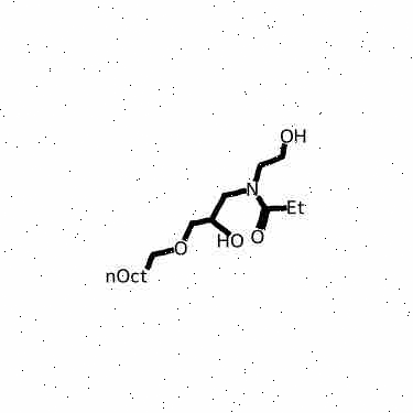 CCCCCCCCCOCC(O)CN(CCO)C(=O)CC